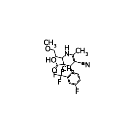 COCCC1NC(C)=C(C#N)C(c2ccc(F)cc2C(F)(F)F)C1(C)C(=O)O